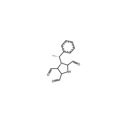 C[C@H](c1ccccc1)N1C(C=O)NC(C=O)C1C=O